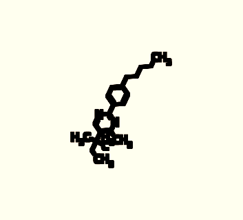 CCCCCc1ccc(-c2ncc(C(C)(C)CC)c(C)n2)cc1